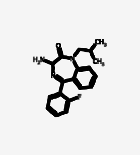 CC(C)CN1C(=O)C(N)N=C(c2ccccc2F)c2ccccc21